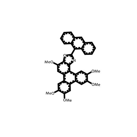 COc1cc2c3cc(OC)c(OC)cc3c3c(cc(OC)c4oc(-c5c6ccccc6cc6ccccc56)nc43)c2cc1OC